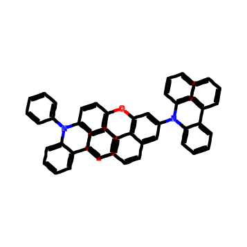 c1ccc(-c2ccccc2N(c2ccccc2)c2cc3c4c(ccc5ccc6c(N(c7ccccc7)c7ccccc7-c7ccccc7)ccc(c6c54)O3)c2)cc1